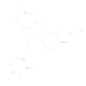 N#Cc1cc2c(Oc3cc(F)c(F)cc3OCCn3ccc(=O)[nH]c3=O)cccn2c1